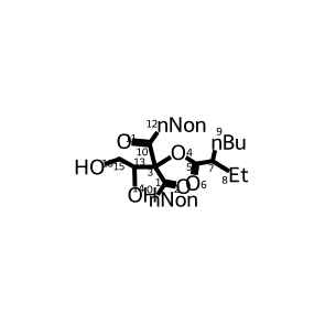 CCCCCCCCCC(=O)C(OC(=O)C(CC)CCCC)(C(=O)CCCCCCCCC)C(O)CO